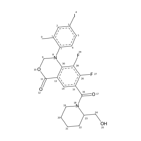 Cc1cc(I)ccc1N1COC(=O)c2cc(C(=O)N3CCCCC3CO)c(F)c(F)c21